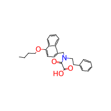 CCCCOc1ccc(CN(CCc2ccccc2)C(=O)C(=O)O)c2ccccc12